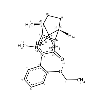 CCOc1ccccc1-n1c(=O)c2c(n1C)[C@]1(C)CC[C@H]2C1(C)C